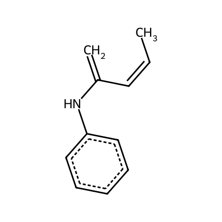 C=C(/C=C\C)Nc1ccccc1